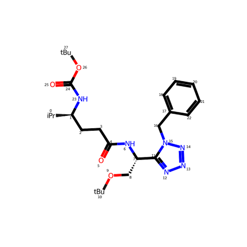 CC(C)[C@H](CCC(=O)N[C@@H](COC(C)(C)C)c1nnnn1Cc1ccccc1)NC(=O)OC(C)(C)C